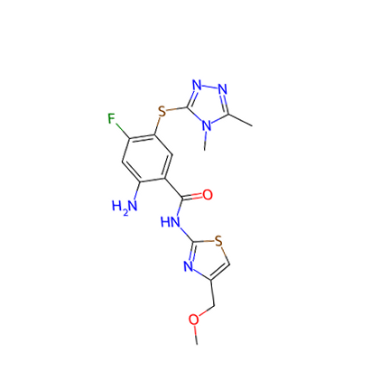 COCc1csc(NC(=O)c2cc(Sc3nnc(C)n3C)c(F)cc2N)n1